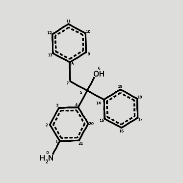 Nc1ccc(C(O)(Cc2ccccc2)c2ccccc2)cc1